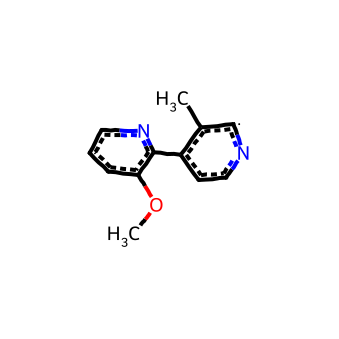 COc1cccnc1-c1ccn[c]c1C